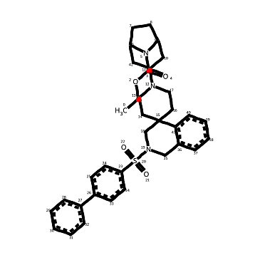 CCOC(=O)N1C2CCC1CC(N1CCC3(CC1)CN(S(=O)(=O)c1ccc(-c4ccccc4)cc1)Cc1ccccc13)C2